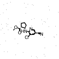 COC(=O)[C@@H]1CCC[C@@H]1Nc1ncc(C#N)cc1Cl